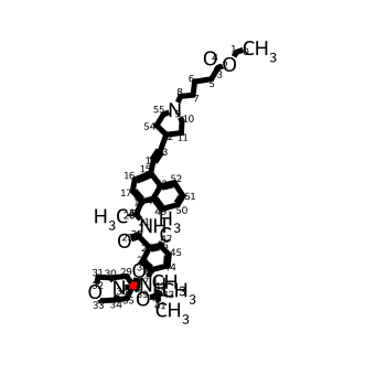 CCOC(=O)CCCCN1CCC(C#Cc2ccc([C@@H](C)NC(=O)c3cc(NC4CC5COCC(C4)N5C(=O)OC(C)(C)C)ccc3C)c3ccccc23)CC1